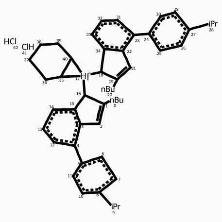 CCCCC1=Cc2c(-c3ccc(C(C)C)cc3)cccc2[CH]1[Hf]1([CH]2C(CCCC)=Cc3c(-c4ccc(C(C)C)cc4)cccc32)[CH]2CCCC[CH]21.Cl.Cl